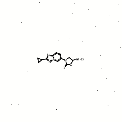 CCCCCCC1CN(c2ccc3nc(C4CC4)nn3c2)C(=O)O1